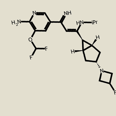 CC(C)N/C(=C\C(=N)c1cnc(N)c(OC(F)F)c1)[C@H]1[C@@H]2C[C@H](N3CC(F)C3)C[C@@H]21